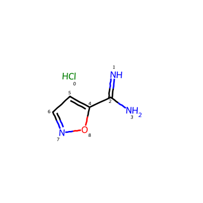 Cl.N=C(N)c1ccno1